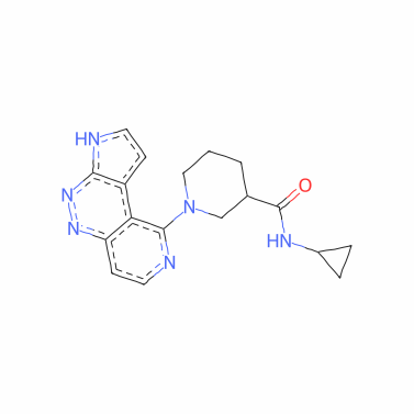 O=C(NC1CC1)C1CCCN(c2nccc3nnc4[nH]ccc4c23)C1